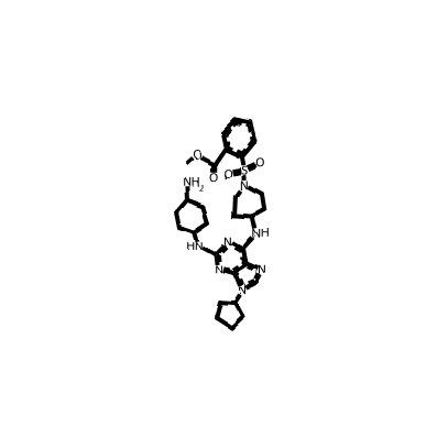 COC(=O)c1ccccc1S(=O)(=O)N1CCC(Nc2nc(NC3CCC(N)CC3)nc3c2ncn3C2CCCC2)CC1